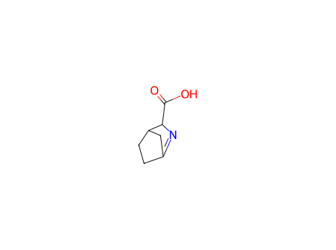 O=C(O)C1N=C2CCC1C2